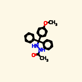 COc1ccc(C(NNC(C)=O)(c2ccccc2)c2ccccc2)cc1